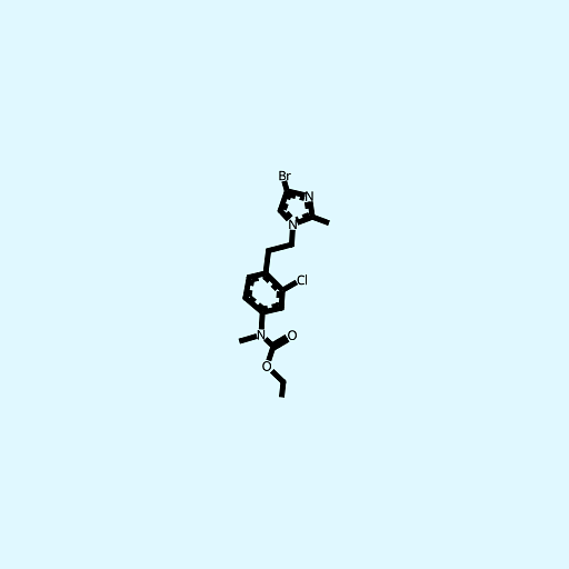 CCOC(=O)N(C)c1ccc(CCn2cc(Br)nc2C)c(Cl)c1